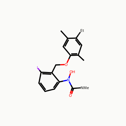 CCc1cc(C)c(OCc2c(I)cccc2N(O)C(=O)NC)cc1C